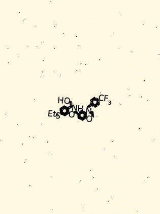 CCSc1ccc(C(CO)NC(=O)c2ccc3c(c2)N(Cc2ccc(C(F)(F)F)cc2)CCO3)cc1